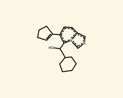 OC(c1c(C2=CCCC2)ccc2cncn12)C1CCCCC1